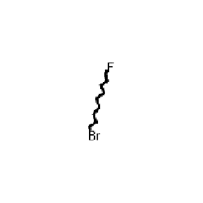 FCCCCCCCCCBr